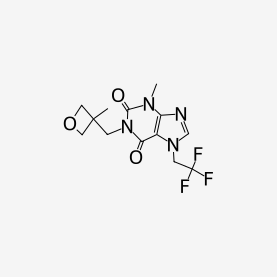 Cn1c(=O)n(CC2(C)COC2)c(=O)c2c1ncn2CC(F)(F)F